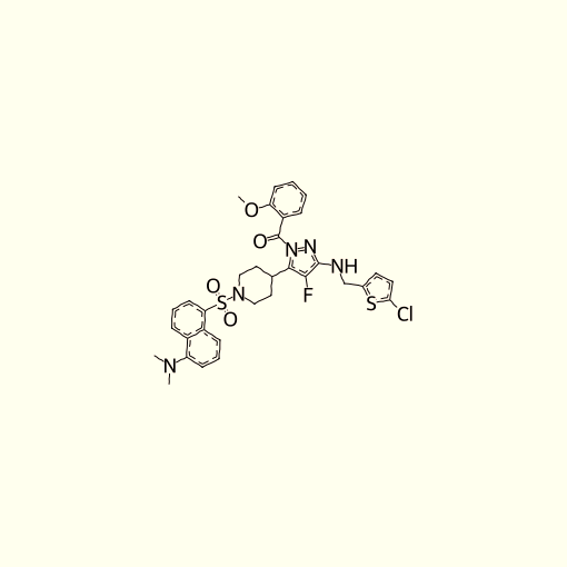 COc1ccccc1C(=O)n1nc(NCc2ccc(Cl)s2)c(F)c1C1CCN(S(=O)(=O)c2cccc3c(N(C)C)cccc23)CC1